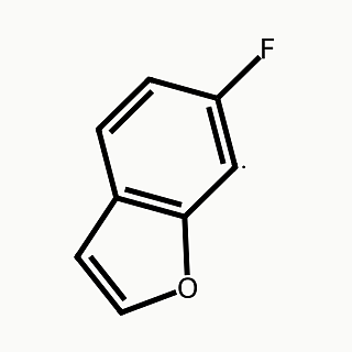 Fc1[c]c2occc2cc1